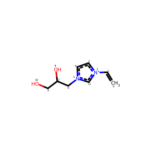 C=C[n+]1ccn(CC(O)CO)c1